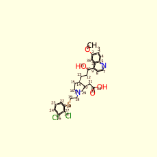 COc1ccc2nccc([C@H](O)CC[C@@H]3CCN(CCSc4cccc(Cl)c4Cl)C[C@@H]3CC(=O)O)c2c1